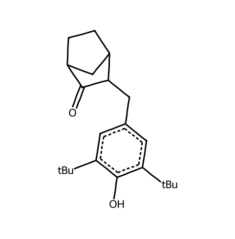 CC(C)(C)c1cc(CC2C(=O)C3CCC2C3)cc(C(C)(C)C)c1O